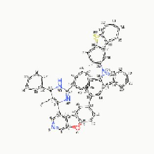 CC1=C(c2cncc3oc4ccc(-c5ccc6c(c5)c5ccccc5n6-c5ccc6sc7ccccc7c6c5)cc4c23)N=C(c2ccccc2)NC1c1ccccc1